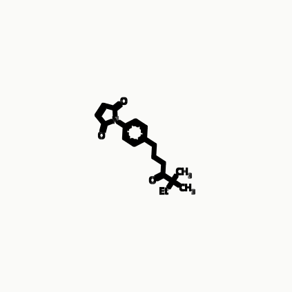 CCC(C)(C)C(=O)CCCc1ccc(N2C(=O)C=CC2=O)cc1